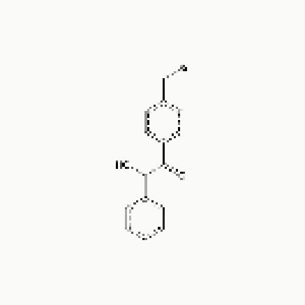 O=C(c1ccc(CBr)cc1)C(O)c1ccccc1